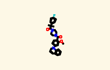 COc1cc(N2CC=Cc3ccccc32)ccc1C(=O)N1CCN(C(=O)C(C)(C)c2ccc(F)cc2)CC1